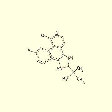 CC(C)(C)C1Nc2c(c3cc[nH]c(=O)c3c3cc(F)ccc23)N1